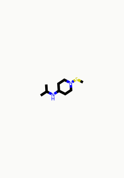 CSN1CCC(NC(C)C)CC1